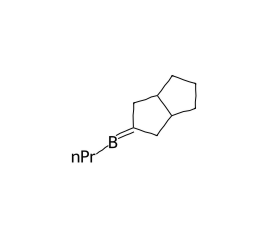 CCCB=C1CC2CCCC2C1